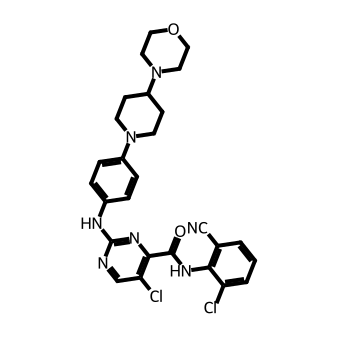 N#Cc1cccc(Cl)c1NC(=O)c1nc(Nc2ccc(N3CCC(N4CCOCC4)CC3)cc2)ncc1Cl